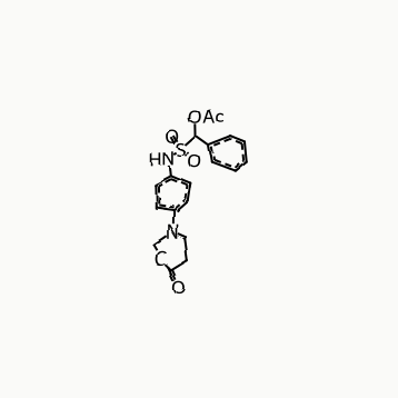 CC(=O)OC(c1ccccc1)S(=O)(=O)Nc1ccc(N2CCC(=O)CC2)cc1